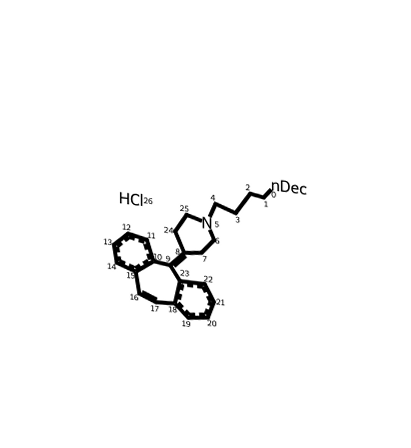 CCCCCCCCCCCCCCN1CCC(=C2c3ccccc3C=Cc3ccccc32)CC1.Cl